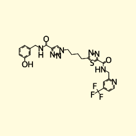 O=C(NCc1cccc(O)c1)c1cn(CCCCc2nnc(C(=O)NCc3cc(C(F)(F)F)ccn3)s2)nn1